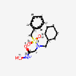 O=C(CN(CC1CCCCC1)S(=O)(=O)Cc1ccccc1)NO